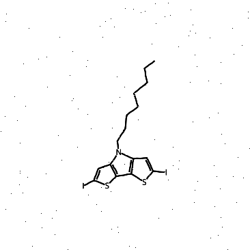 CCCCCCCCn1c2cc(I)sc2c2sc(I)cc21